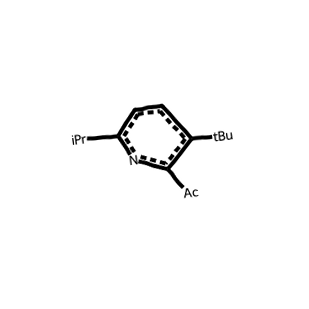 CC(=O)c1nc(C(C)C)ccc1C(C)(C)C